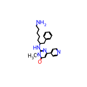 Cn1c(NC(CCCCCN)Cc2ccccc2)nc(-c2ccncc2)cc1=O